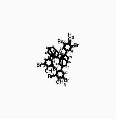 Cc1c(Br)cc(C23CC4CC(C2)CC(C25CC6CC(c7cc(Br)c(C)c(Br)c7)(CC(c7cc(Br)c(C)c(Br)c7)(C6)C2)C5)(C4)C3)cc1Br